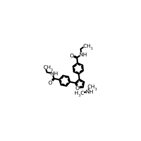 CCNC(=O)c1ccc(-c2ccoc2-c2ccc(C(=O)NCC)cc2)cc1.CNC